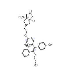 C=C(/C=C\C(=C/C)OCCN1C[C@@H]2CNC[C@]2(N)C1)/C(=C(/CCCO)c1ccccc1)c1ccc(O)cc1